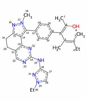 CC/C(C)=C(C)/C(=C(/C)O)c1ccc(-c2c3c(nn2C)CCc2cnc(Nc4ccn(CC)n4)nc2-3)cc1